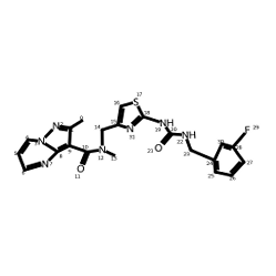 Cc1nn2cccnc2c1C(=O)N(C)Cc1csc(NC(=O)NCc2cccc(F)c2)n1